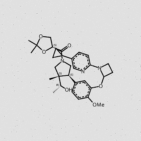 COc1ccc([C@@H]2CN(C(=O)[C@@H]3COC(C)(C)O3)C[C@@]2(C)[C@@H](C)O)cc1OC1CCN1c1ccc(C2CC2)cn1